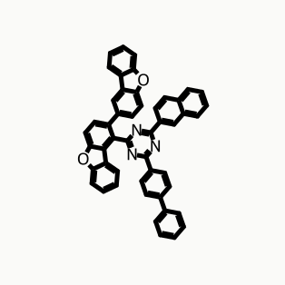 c1ccc(-c2ccc(-c3nc(-c4ccc5ccccc5c4)nc(-c4c(-c5ccc6oc7ccccc7c6c5)ccc5oc6ccccc6c45)n3)cc2)cc1